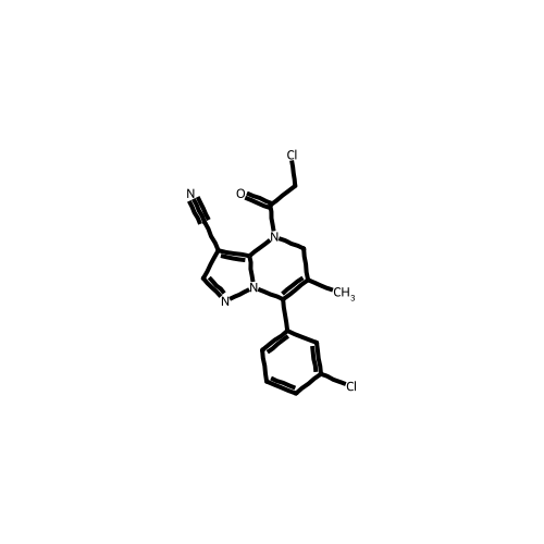 CC1=C(c2cccc(Cl)c2)n2ncc(C#N)c2N(C(=O)CCl)C1